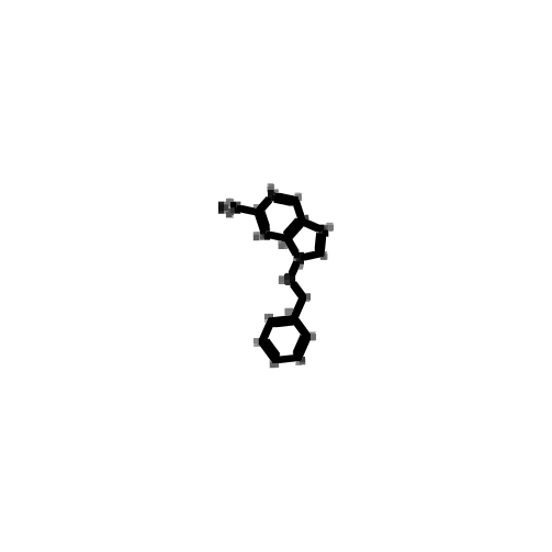 Nc1ncc2ncn(OCc3ccccc3)c2n1